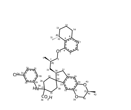 C[C@@H](COc1ccnc2c1[C@H](C)CCC2)C[C@H]1Cc2cc3c(cc2C12CCC(Nc1cccc(Cl)c1)(C(=O)O)CC2)OC[C@H](C)O3